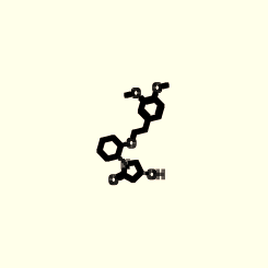 COc1ccc(CCO[C@@H]2CCCC[C@H]2N2C[C@H](O)CC2=O)cc1OC